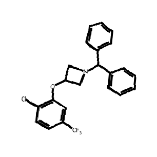 FC(F)(F)c1ccc(Cl)c(OC2CN(C(c3ccccc3)c3ccccc3)C2)c1